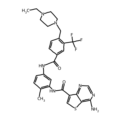 CCN1CCN(Cc2ccc(C(=O)Nc3ccc(C)c(NC(=O)c4csc5c(N)ncnc45)c3)cc2C(F)(F)F)CC1